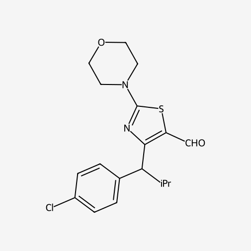 CC(C)C(c1ccc(Cl)cc1)c1nc(N2CCOCC2)sc1C=O